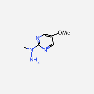 COc1cnc(N(C)N)nc1